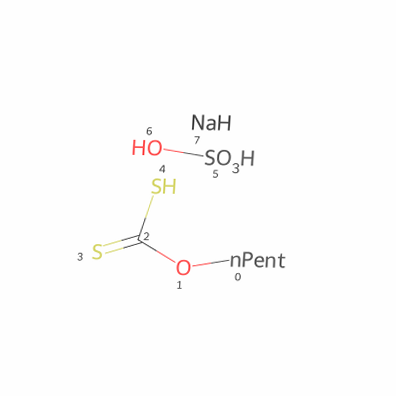 CCCCCOC(=S)S.O=S(=O)(O)O.[NaH]